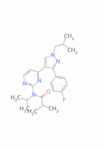 CC(C)Cn1cc(-c2ccnc(N(C(=O)C(C)C)C(C)C)n2)c(-c2ccc(F)cc2)n1